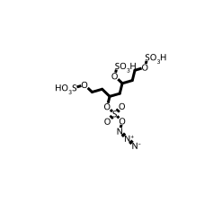 [N-]=[N+]=NOS(=O)(=O)OC(CCOS(=O)(=O)O)CC(CCOS(=O)(=O)O)OS(=O)(=O)O